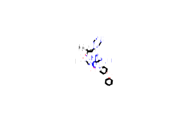 C[C@@H](Cn1c(=O)n(-c2ccc(Oc3ccccc3)cc2)c2c(N)ncnc21)NC(=O)C(C#N)=CC(C)(C)N1CCNCC1